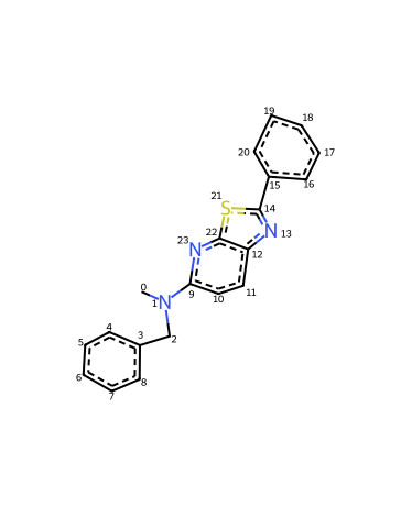 CN(Cc1ccccc1)c1ccc2nc(-c3ccccc3)sc2n1